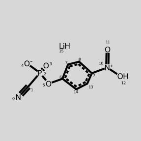 N#CP(=O)([O-])Oc1ccc([N+](=O)O)cc1.[LiH]